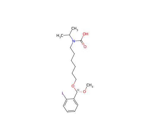 CO[C@@H](OCCCCCCN(C(=O)O)C(C)C)c1ccccc1I